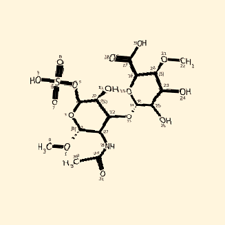 CO[C@@H]1OC(OS(=O)(=O)O)[C@@H](O)C(O[C@@H]2OC(C(=O)O)[C@@H](OC)C(O)C2O)C1NC(C)=O